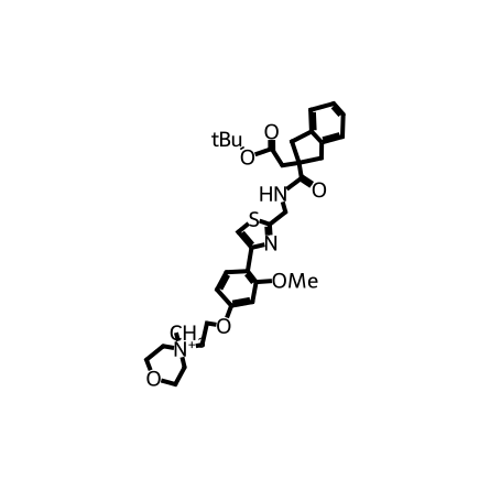 COc1cc(OCC[N+]2(C)CCOCC2)ccc1-c1csc(CNC(=O)C2(CC(=O)OC(C)(C)C)Cc3ccccc3C2)n1